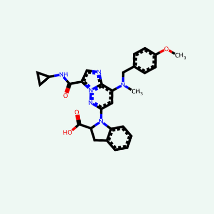 COc1ccc(CN(C)c2cc(N3c4ccccc4CC3C(=O)O)nn3c(C(=O)NC4CC4)cnc23)cc1